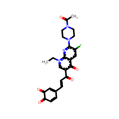 CCn1cc(C(=O)C=CC2=CC(=O)C(=O)C=C2)c(=O)c2cc(F)c(N3CCN(C(C)=O)CC3)nc21